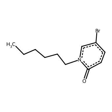 CCCCCCn1cc(Br)ccc1=O